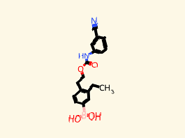 CCc1cc(B(O)O)ccc1CCOC(=O)Nc1cccc(C#N)c1